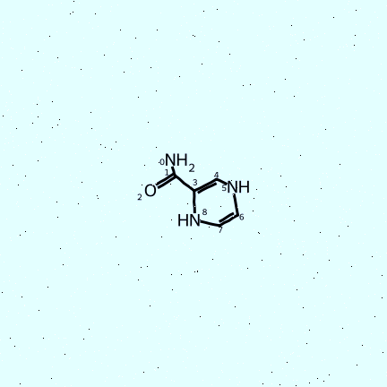 NC(=O)C1=CNC=CN1